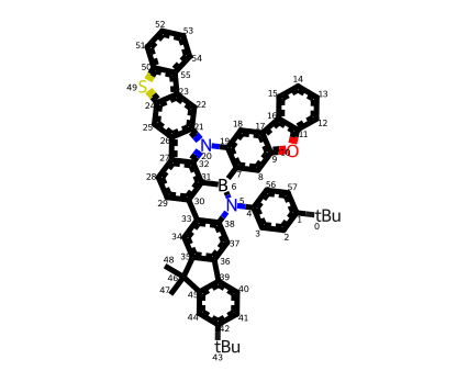 CC(C)(C)c1ccc(N2B3c4cc5oc6ccccc6c5cc4-n4c5cc6c(cc5c5ccc(c3c54)-c3cc4c(cc32)-c2ccc(C(C)(C)C)cc2C4(C)C)sc2ccccc26)cc1